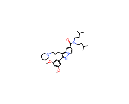 COc1cc(OC)cc(-c2nn3ccc(C(=O)N(CCC(C)C)CCC(C)C)cc3c2CCCN2CCCCC2)c1